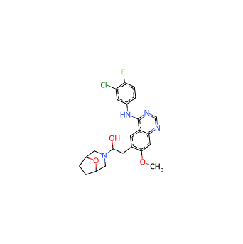 COc1cc2ncnc(Nc3ccc(F)c(Cl)c3)c2cc1CC(O)N1CC2CCC(C1)O2